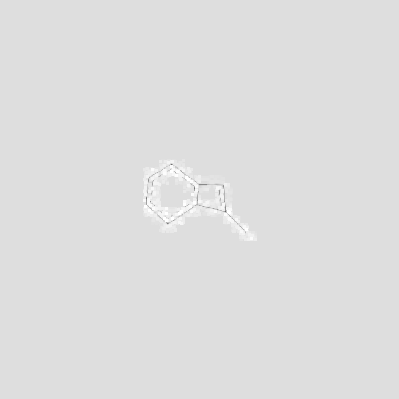 [CH2]C1=Cc2ccccc21